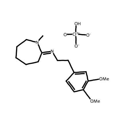 COc1ccc(CCN=C2CCCCCN2C)cc1OC.[O-][Cl+3]([O-])([O-])O